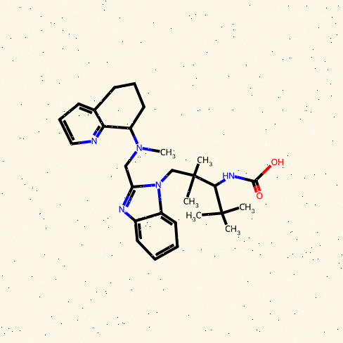 CN(Cc1nc2ccccc2n1CC(C)(C)C(NC(=O)O)C(C)(C)C)C1CCCc2cccnc21